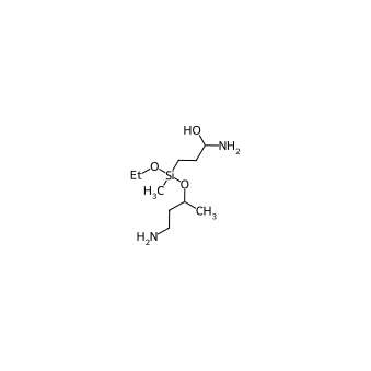 CCO[Si](C)(CCC(N)O)OC(C)CCN